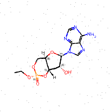 CCO[P@]1(=O)OC[C@H]2O[C@@H](n3cnc4c(N)ncnc43)[C@H](O)[C@@H]2O1